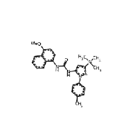 COc1ccc(NC(=O)Nc2cc([Si](C)(C)C)nn2-c2ccc(C)cc2)c2ccccc12